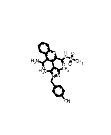 Cc1c(-c2c(C(=O)NS(C)(=O)=O)nc3ccccc3c2C(N)=O)c(C(F)(F)F)nn1Cc1ccc(C#N)cc1